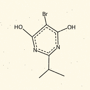 CC(C)c1nc(O)c(Br)c(O)n1